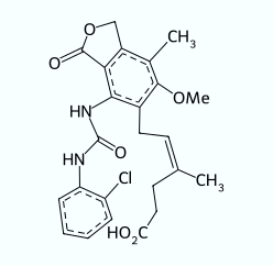 COc1c(C)c2c(c(NC(=O)Nc3ccccc3Cl)c1CC=C(C)CCC(=O)O)C(=O)OC2